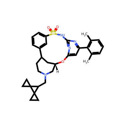 Cc1cccc(C)c1-c1cc2nc(n1)NS(=O)(=O)c1cccc(c1)C1CCN(CC3C4(CC4)C34CC4)C[C@H](C1)O2